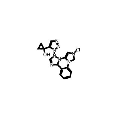 OC1(c2cnnn2N2C=NC3c4ccccc4N4CN(Cl)C=C4N32)CC1